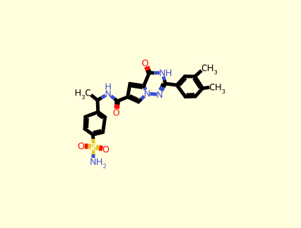 Cc1ccc(-c2nn3cc(C(=O)NC(C)c4ccc(S(N)(=O)=O)cc4)cc3c(=O)[nH]2)cc1C